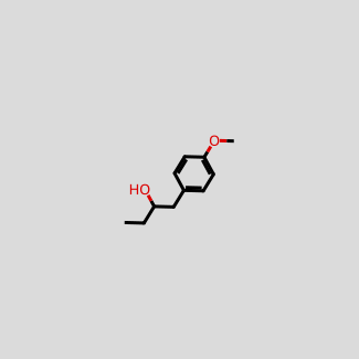 CCC(O)Cc1ccc(OC)cc1